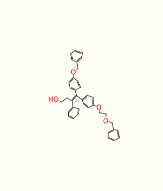 OCC/C(=C(/c1ccc(OCCOCc2ccccc2)cc1)c1ccc(OCc2ccccc2)cc1)c1ccccc1